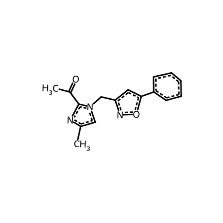 CC(=O)c1nc(C)cn1Cc1cc(-c2ccccc2)on1